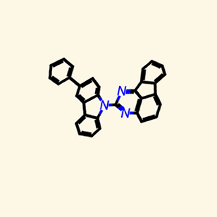 c1ccc(-c2ccc3c(c2)c2ccccc2n3-c2nc3c4c(cccc4n2)-c2ccccc2-3)cc1